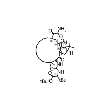 CC(C)(C)OC(=O)[C@@H](NC(=O)N[C@@H]1C(=O)N2C[C@H]3[C@@H]([C@H]2C(=O)N[C@H](C(=O)C(N)=O)CCCCCCCCCC1(C)C)C3(C)C)C(C)(C)C